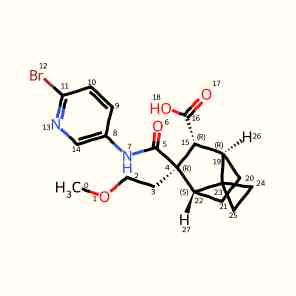 COCC[C@]1(C(=O)Nc2ccc(Br)nc2)[C@H](C(=O)O)[C@H]2CC[C@H]1C21CC1